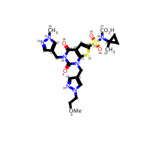 COCCn1cc(Cn2c(=O)n(Cc3cnn(C)c3)c(=O)c3cc(S(=O)(=O)N(C(=O)O)C4(C)CC4)sc32)cn1